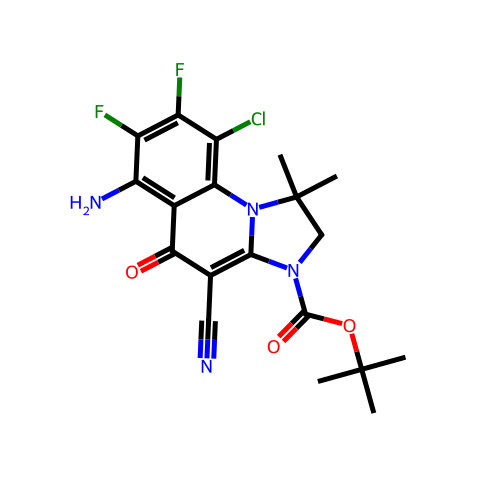 CC(C)(C)OC(=O)N1CC(C)(C)n2c1c(C#N)c(=O)c1c(N)c(F)c(F)c(Cl)c12